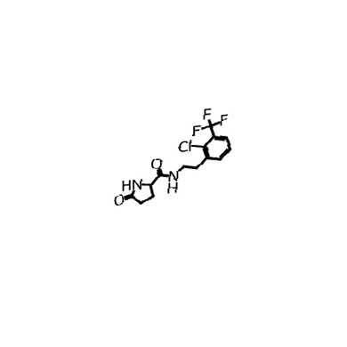 O=C1CCC(C(=O)NCCc2cccc(C(F)(F)F)c2Cl)N1